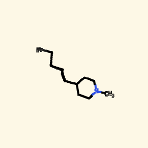 CC(C)CCCCC1CCN(C)CC1